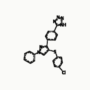 Clc1ccc(Sc2cn(-c3ccccc3)nc2-c2ccc(-c3nnn[nH]3)cc2)cc1